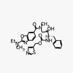 CCN(C)c1nc2ccc(C(=O)N(C)C[C@@H](O)[C@H](Cc3ccccc3)NC(=O)OCc3cncs3)cc2o1